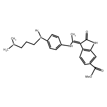 COC(=O)c1ccc2c(c1)NC(=O)C2=C(C)Nc1ccc(N(CCCN(C)C)C(C)=O)cc1